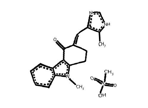 CS(=O)(=O)O.Cc1[nH]cnc1C=C1CCc2c(c3ccccc3n2C)C1=O